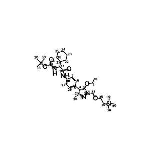 CCOc1c(-c2ccc(NC(=O)[C@@H](NC(=O)OC(C)(C)C)C3CCCCC3)cc2)c(C)nn1COCC[Si](C)(C)C